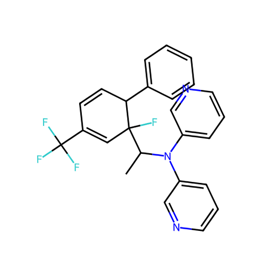 CC(N(c1cccnc1)c1cccnc1)C1(F)C=C(C(F)(F)F)C=CC1c1ccccc1